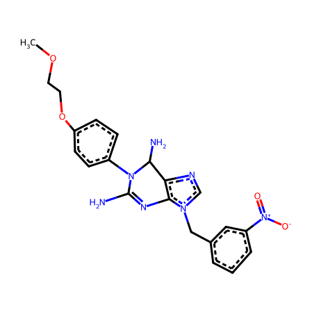 COCCOc1ccc(N2C(N)=Nc3c(ncn3Cc3cccc([N+](=O)[O-])c3)C2N)cc1